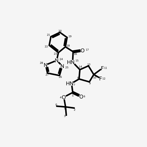 CC(C)(C)OC(=O)NC1CC(F)(F)CC1NC(=O)c1ccccc1-n1nccn1